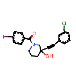 O=C(c1ccc(I)cc1)N1CCCC(O)(C#Cc2cccc(Cl)c2)C1